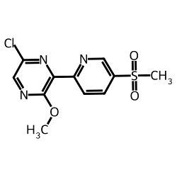 COc1ncc(Cl)nc1-c1ccc(S(C)(=O)=O)cn1